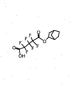 O=C(O)C(F)(F)C(F)(F)C(F)(F)C(=O)OC1CC2CCC1C2